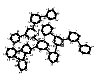 c1ccc(-c2cccc(-c3cc(-c4ccccc4)nc(-c4ccccc4-c4ccc(-c5nc(-c6ccccc6)cc(-c6cccc(-c7ccccc7)c6)n5)c(-c5ccc6c7ccccc7c7ccccc7c6c5)c4)n3)c2)cc1